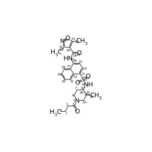 CCCC(=O)N1CC[C@@H](NS(=O)(=O)c2ccc(NC(=O)c3c(C)noc3C)c3ccccc23)[C@@H](C)C1